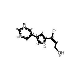 OC/C=C(/F)c1cc(-c2cncnc2)cs1